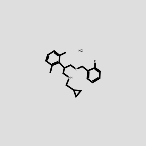 Cc1cccc(C)c1C(CNCC1CC1)COCc1ccccc1F.Cl